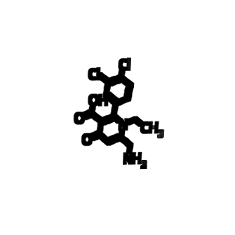 CCn1c(CN)cc(=O)c(C(=O)O)c1-c1ccc(Cl)c(Cl)c1